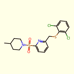 CC1CCN(S(=O)(=O)c2cccc(CSc3c(Cl)cccc3Cl)n2)CC1